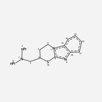 CCCN(CCC)CC1CCn2c(nc3ccccc32)S1